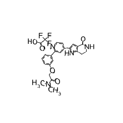 CN(C)C(=O)COc1cccc(-c2cc(-c3cc4c([nH]3)CCNC4=O)ccn2)c1.O=C(O)C(F)(F)F